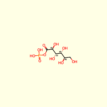 O=C(OP(=O)(O)O)[C@@H](O)[C@@H](O)[C@H](O)[C@H](O)CO